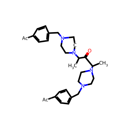 CC(=O)c1ccc(CN2CCN(C(C)C(=O)C(C)N3CCN(Cc4ccc(C(C)=O)cc4)CC3)CC2)cc1